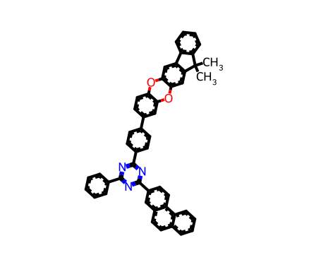 CC1(C)c2ccccc2-c2cc3c(cc21)Oc1cc(-c2ccc(-c4nc(-c5ccccc5)nc(-c5ccc6c(ccc7ccccc76)c5)n4)cc2)ccc1O3